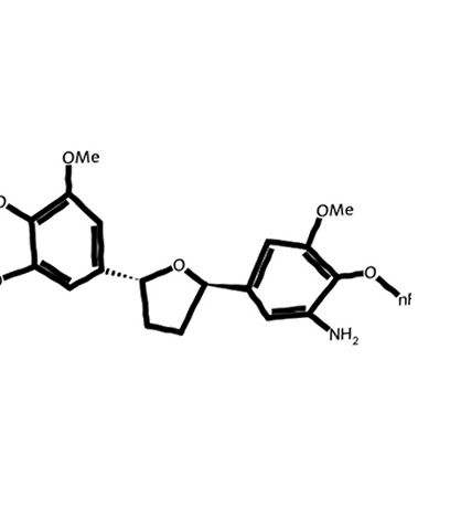 CCCOc1c(N)cc([C@H]2CC[C@H](c3cc(OC)c(OC)c(OC)c3)O2)cc1OC